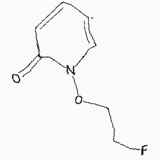 O=c1cc[c]cn1OCCF